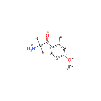 Cc1cc(OC(C)C)ccc1C(=O)C(C)(C)N